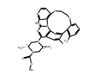 CC(C)c1nccc2c1-n1c(=O)nc(N3C[C@@H](C)N(C(=O)OC(C)(C)C)C[C@@H]3C)c3cc(F)c(nc31)-c1c(cccc1C(F)(F)F)OCCO2